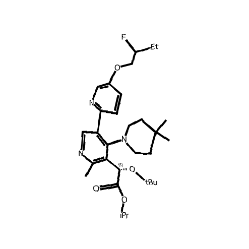 CCC(F)COc1ccc(-c2cnc(C)c([C@H](OC(C)(C)C)C(=O)OC(C)C)c2N2CCC(C)(C)CC2)nc1